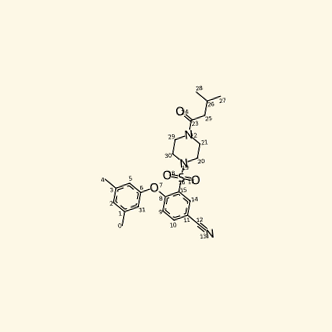 Cc1cc(C)cc(Oc2ccc(C#N)cc2S(=O)(=O)N2CCN(C(=O)CC(C)C)CC2)c1